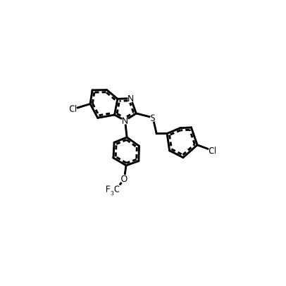 FC(F)(F)Oc1ccc(-n2c(SCc3ccc(Cl)cc3)nc3ccc(Cl)cc32)cc1